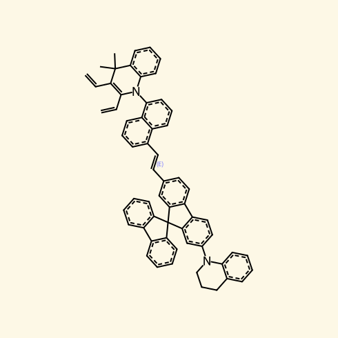 C=CC1=C(C=C)C(C)(C)c2ccccc2N1c1cccc2c(/C=C/c3ccc4c(c3)C3(c5ccccc5-c5ccccc53)c3cc(N5CCCc6ccccc65)ccc3-4)cccc12